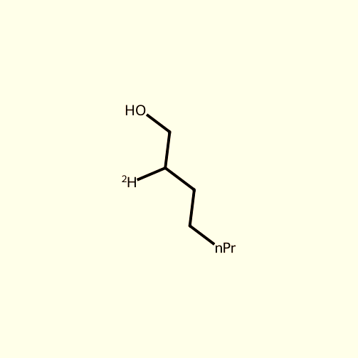 [2H]C(CO)CCCCC